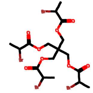 CC(Br)C(=O)OCC(COC(=O)C(C)Br)(COC(=O)C(C)Br)COC(=O)C(C)Br